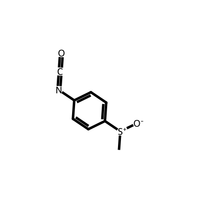 C[S+]([O-])c1ccc(N=C=O)cc1